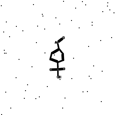 O=[As]c1ccc(S(=O)(=O)O)cc1